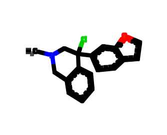 CN1Cc2ccccc2C(Cl)(c2ccc3ccoc3c2)C1